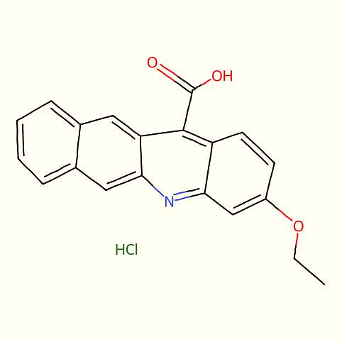 CCOc1ccc2c(C(=O)O)c3cc4ccccc4cc3nc2c1.Cl